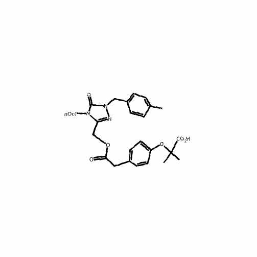 CCCCCCCCn1c(COC(=O)Cc2ccc(OC(C)(C)C(=O)O)cc2)nn(Cc2ccc(C)cc2)c1=O